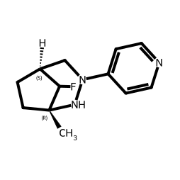 C[C@]12CC[C@@H](CN(c3ccncc3)N1)C2F